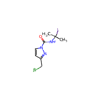 CC(C)(I)NC(=O)n1ccc(CBr)n1